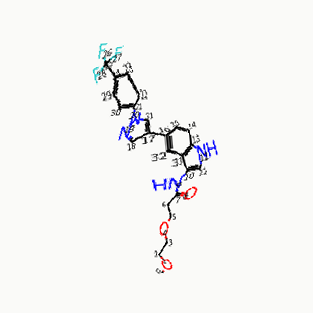 COCCOCCC(=O)Nc1c[nH]c2ccc(-c3cnn(-c4ccc(C(F)(F)F)cc4)c3)cc12